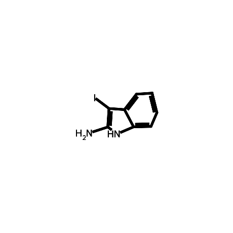 Nc1[nH]c2ccccc2c1I